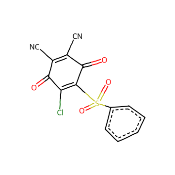 N#CC1=C(C#N)C(=O)C(S(=O)(=O)c2ccccc2)=C(Cl)C1=O